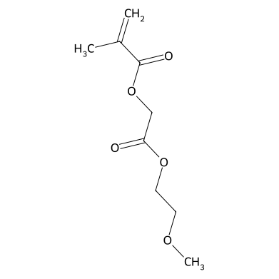 C=C(C)C(=O)OCC(=O)OCCOC